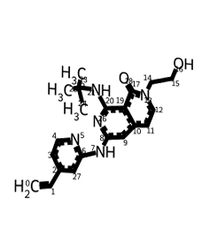 C=Cc1ccnc(Nc2cc3ccn(CCO)c(=O)c3c(NC(C)(C)C)n2)c1